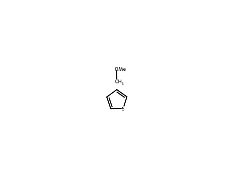 COC.c1ccsc1